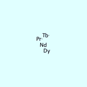 [Dy].[Nd].[Pr].[Tb]